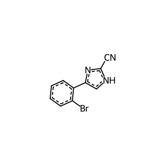 N#Cc1nc(-c2ccccc2Br)c[nH]1